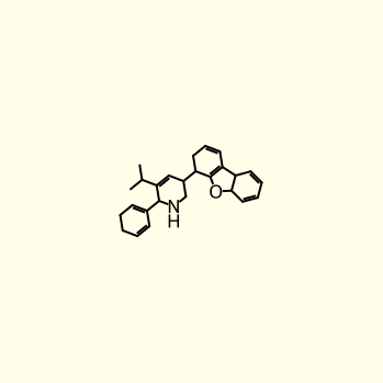 CC(C)C1=CC(C2CC=CC3=C2OC2C=CC=CC32)CNC1C1=CCCC=C1